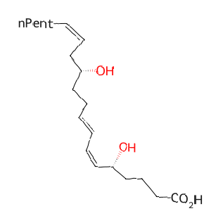 CCCCC/C=C\C[C@H](O)CC/C=C/C=C\[C@H](O)CCCC(=O)O